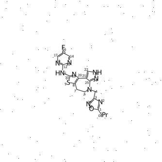 CC(C)c1nc(CN2CCc3sc(Nc4ncc(F)cn4)nc3-c3c[nH]nc32)no1